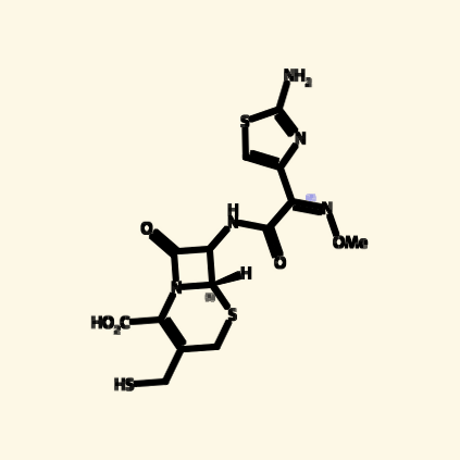 CO/N=C(\C(=O)NC1C(=O)N2C(C(=O)O)=C(CS)CS[C@@H]12)c1csc(N)n1